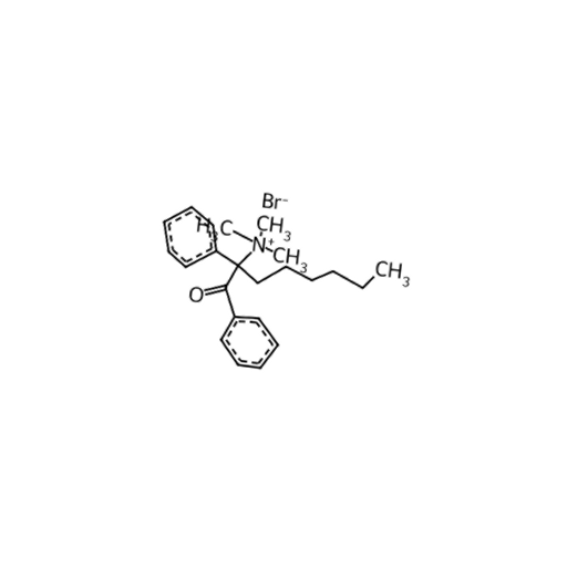 CCCCCCC(C(=O)c1ccccc1)(c1ccccc1)[N+](C)(C)C.[Br-]